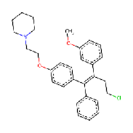 COc1cccc(/C(CCCl)=C(/c2ccccc2)c2ccc(OCCN3CCCCC3)cc2)c1